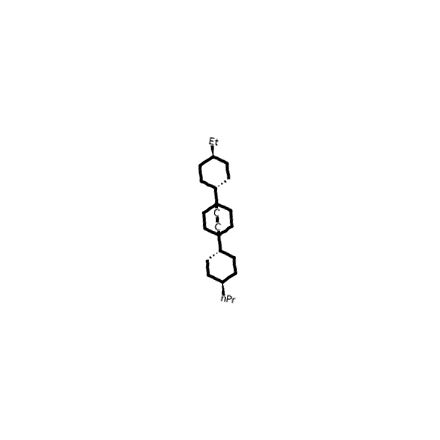 CCC[C@H]1CC[C@H](C23CCC([C@H]4CC[C@H](CC)CC4)(CC2)CC3)CC1